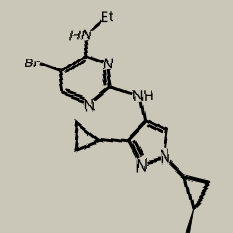 CCNc1nc(Nc2cn(C3C[C@H]3C)nc2C2CC2)ncc1Br